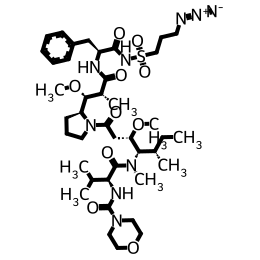 CC[C@H](C)[C@@H]([C@H](CC(=O)N1CCC[C@H]1[C@H](OC)[C@@H](C)C(=O)N[C@@H](Cc1ccccc1)C(=O)NS(=O)(=O)CCCN=[N+]=[N-])OC)N(C)C(=O)[C@@H](NC(=O)N1CCOCC1)C(C)C